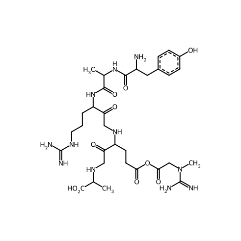 CC(NCC(=O)C(CCC(=O)OC(=O)CN(C)C(=N)N)NCC(=O)C(CCCNC(=N)N)NC(=O)C(C)NC(=O)C(N)Cc1ccc(O)cc1)C(=O)O